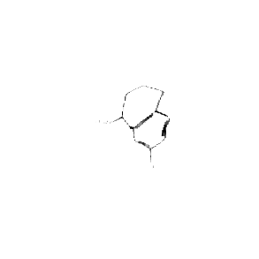 CNC1CCCc2ccc(Br)cc21